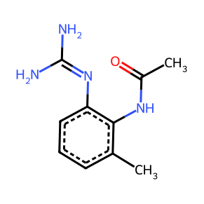 CC(=O)Nc1c(C)cccc1N=C(N)N